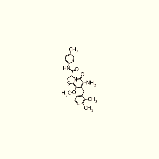 COc1c(Cc2cccc(C)c2C)c(N)c(=O)n2c1SC[C@H]2C(=O)Nc1ccc(C)cc1